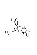 CCOc1cc2nc(Cl)c(Cl)nc2cc1OCC